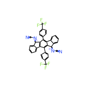 N#C/N=c1\c2ccccc2c2c(-c3ccc(C(F)(F)F)cc3)c3/c(=N/C#N)c4ccccc4c3c(-c3ccc(C(F)(F)F)cc3)c12